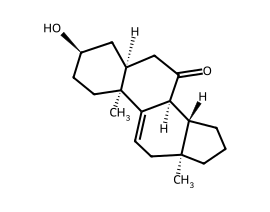 C[C@]12CC=C3[C@@H](C(=O)C[C@@H]4C[C@H](O)CC[C@]34C)[C@@H]1CCC2